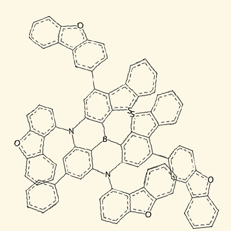 c1ccc(-c2cc3c4c(c2)N(c2cccc5oc6ccccc6c25)c2cc(-c5ccc6oc7ccccc7c6c5)c5c(sc6ccccc65)c2B4c2c(cc(-c4ccc5oc6ccccc6c5c4)c4c2sc2ccccc24)N3c2cccc3oc4ccccc4c23)cc1